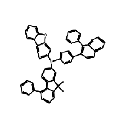 CC1(C)c2cc(N(c3ccc(-c4ccc5ccccc5c4-c4ccccc4)cc3)c3ccc4c(c3)oc3ccccc34)ccc2-c2c(-c3ccccc3)cccc21